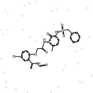 C=C(NC=O)c1cc(Cl)ccc1OCC(=O)Nn1c(C)ccc(NS(=O)(=O)Cc2ccccc2)c1=O